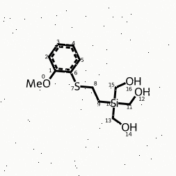 COc1ccccc1SCC[Si](CO)(CO)CO